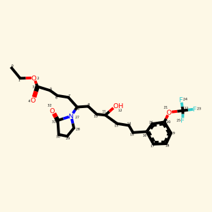 CCOC(=O)CCCC(CCC(O)CCCc1cccc(OC(F)(F)F)c1)N1CCCC1=O